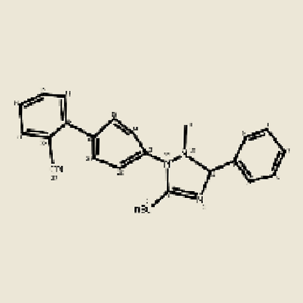 CCCCC1=NC(c2ccccc2)N(C)N1c1ccc(-c2ccccc2C#N)cc1